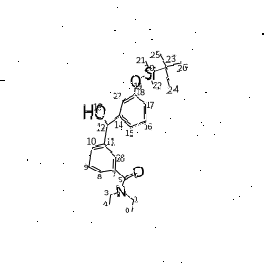 CCN(CC)C(=O)c1cccc(C(O)c2cccc(O[Si](C)(C)C(C)(C)C)c2)c1